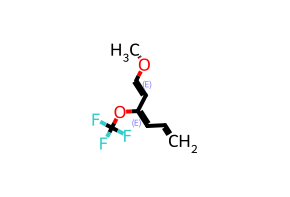 C=C/C=C(\C=C\OC)OC(F)(F)F